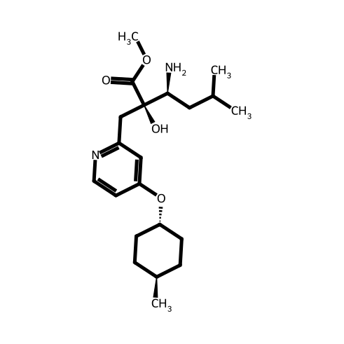 COC(=O)[C@@](O)(Cc1cc(O[C@H]2CC[C@H](C)CC2)ccn1)[C@@H](N)CC(C)C